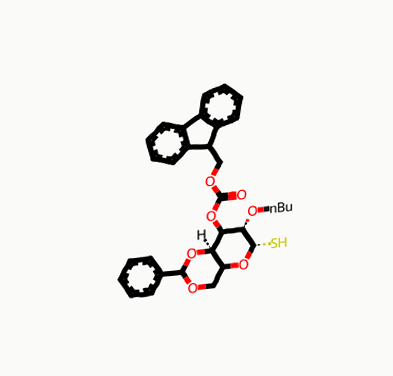 CCCCO[C@H]1C(OC(=O)OCC2c3ccccc3-c3ccccc32)[C@@H]2OC(c3ccccc3)OCC2O[C@H]1S